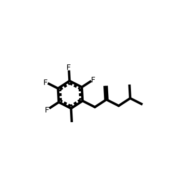 C=C(Cc1c(C)c(F)c(F)c(F)c1F)CC(C)C